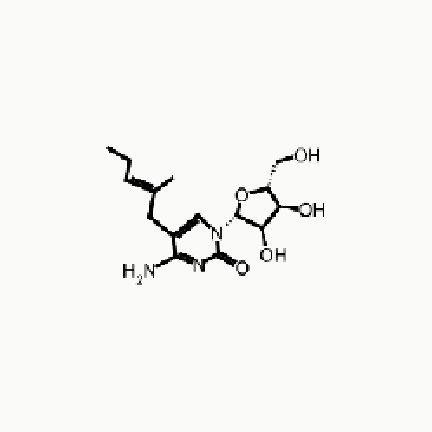 CC/C=C(\C)Cc1cn([C@@H]2O[C@H](CO)[C@@H](O)[C@H]2O)c(=O)nc1N